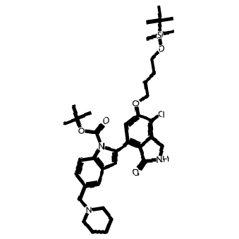 CC(C)(C)OC(=O)n1c(-c2cc(OCCCCO[Si](C)(C)C(C)(C)C)c(Cl)c3c2C(=O)NC3)cc2cc(CN3CCCCC3)ccc21